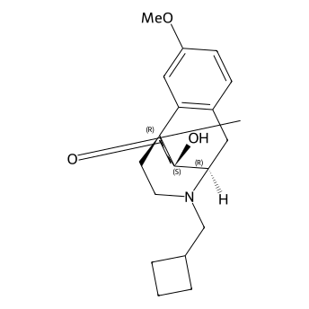 COc1ccc2c(c1)[C@]13CCN(CC4CCC4)[C@H](C2)[C@]1(O)CCC(=O)C3